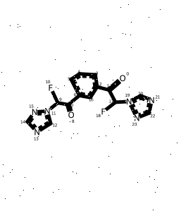 O=C(c1cccc(C(=O)C(F)n2cncn2)c1)C(F)n1cncn1